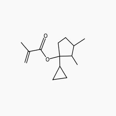 C=C(C)C(=O)OC1(C2CC2)CCC(C)C1C